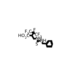 O=C(O)C(CNC(=S)NCc1ccccc1)C(F)(C(F)(F)F)C(F)(F)F